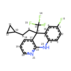 Fc1ccc2c(c1)C(CCC1CC1)(C(F)(F)F)c1cccnc1N2